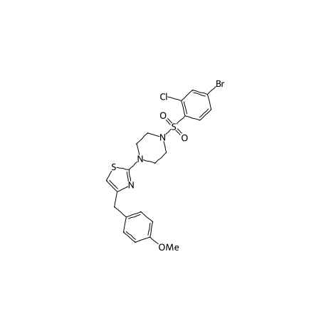 COc1ccc(Cc2csc(N3CCN(S(=O)(=O)c4ccc(Br)cc4Cl)CC3)n2)cc1